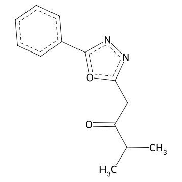 CC(C)C(=O)Cc1nnc(-c2ccccc2)o1